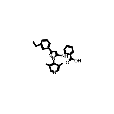 CCc1cccc(-c2cc(Nc3ccccc3C(=O)O)n(-c3c(C)cncc3C)n2)c1